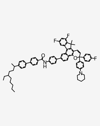 CCCCCC(CC)CCC(C)c1ccc(-c2ccc(C(=O)Nc3ccc(-c4ccc5c6c(c7c(c5c4)-c4cc(F)cc(F)c4C7(C)C)C=CC(c4ccc(F)cc4)(c4ccc(N5CCCCC5)cc4)O6)cc3)cc2)cc1